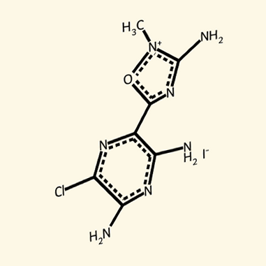 C[n+]1oc(-c2nc(Cl)c(N)nc2N)nc1N.[I-]